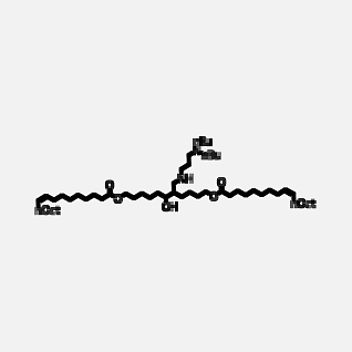 CCCCCCCC/C=C\CCCCCCCC(=O)OCCCCCC(O)C(CCCCOC(=O)CCCCCCC/C=C\CCCCCCCC)CNCCCN(CCCC)CCCC